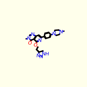 CN1CCN(c2ccc(-c3cc4ncn(C)c(=O)c4c(OCCC4CNN=N4)n3)cc2)CC1